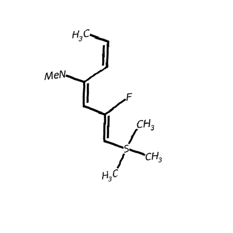 C\C=C/C(=C\C(F)=C\S(C)(C)C)NC